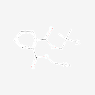 CCC(C)COC(=O)c1ccccc1C(=O)OCC(C)(C)CC